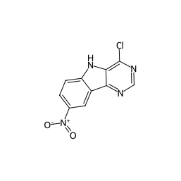 O=[N+]([O-])c1ccc2[nH]c3c(Cl)ncnc3c2c1